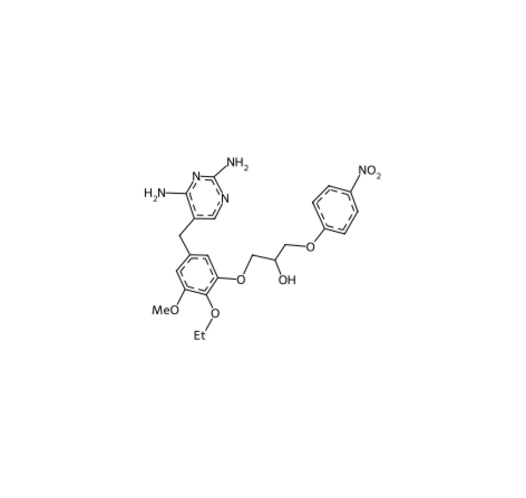 CCOc1c(OC)cc(Cc2cnc(N)nc2N)cc1OCC(O)COc1ccc([N+](=O)[O-])cc1